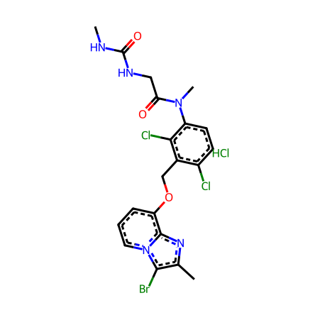 CNC(=O)NCC(=O)N(C)c1ccc(Cl)c(COc2cccn3c(Br)c(C)nc23)c1Cl.Cl